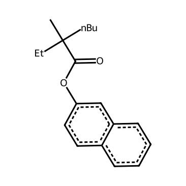 CCCCC(C)(CC)C(=O)Oc1ccc2ccccc2c1